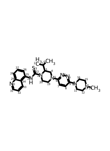 CC(C)C1CN(c2ccc(N3CCN(C)CC3)nn2)CCN1C(=S)Nc1cccc2ncccc12